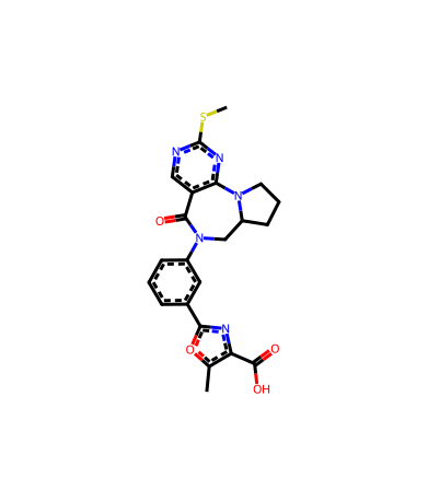 CSc1ncc2c(n1)N1CCCC1CN(c1cccc(-c3nc(C(=O)O)c(C)o3)c1)C2=O